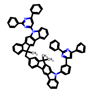 CC1(C)c2cc(CC3(C)c4ccccc4-c4cc5c(cc43)c3ccccc3n5-c3cc(-c4ccccc4)nc(-c4ccccc4)n3)ccc2-c2cc3c4ccccc4n(-c4cccc(-c5cc(-c6ccccc6)nc(-c6ccccc6)n5)c4)c3cc21